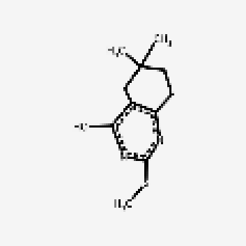 CSc1nc(O)c2c(n1)CCC(C)(C)C2